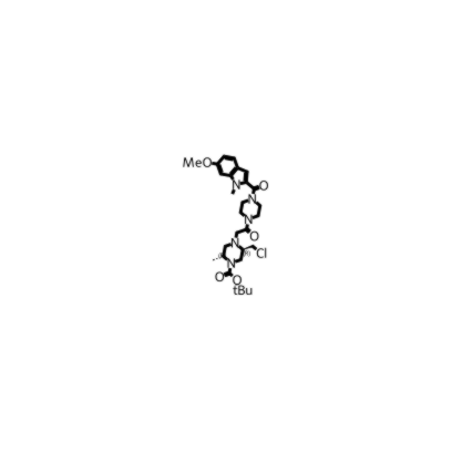 COc1ccc2cc(C(=O)N3CCN(C(=O)CN4C[C@@H](C)N(C(=O)OC(C)(C)C)C[C@@H]4CCl)CC3)n(C)c2c1